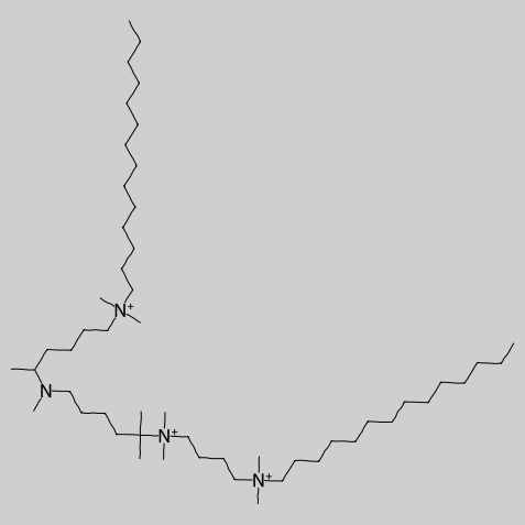 CCCCCCCCCCCCCC[N+](C)(C)CCCCC(C)N(C)CCCCC(C)(C)[N+](C)(C)CCCC[N+](C)(C)CCCCCCCCCCCCCC